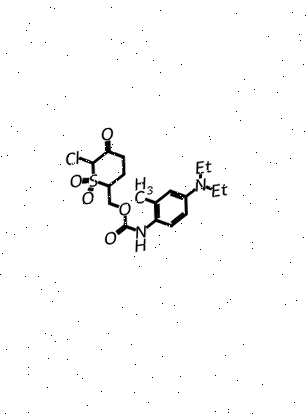 CCN(CC)c1ccc(NC(=O)OCC2CCC(=O)C(Cl)S2(=O)=O)c(C)c1